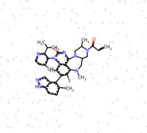 C=CC(=O)N1CC2CN(C)c3c(F)c(-c4c(C)ccc5[nH]ncc45)c(Cl)c4c3c(nc(=O)n4-c3c(C)ccnc3C(C)C)N2CC1C